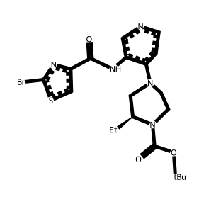 CC[C@H]1CN(c2ccncc2NC(=O)c2csc(Br)n2)CCN1C(=O)OC(C)(C)C